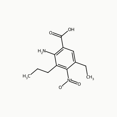 CCCc1c(N)c(C(=O)O)cc(CC)c1[N+](=O)[O-]